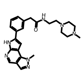 CN1CCN(CCNC(=O)Cc2cccc(-c3cc4c(ncc5cnn(C)c54)[nH]3)c2)CC1